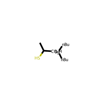 CC(S)C(=O)O.CCC[CH2][Sn][CH2]CCC